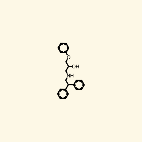 OC(CNCC(c1ccccc1)c1ccccc1)COc1ccccc1